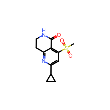 CS(=O)(=O)c1cc(C2CC2)nc2c1C(=O)NCC2